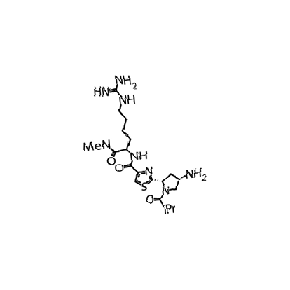 CNC(=O)C(CCCCNC(=N)N)NC(=O)c1csc([C@@H]2C[C@@H](N)CN2C(=O)C(C)C)n1